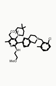 COCCNc1nc(C)c(CC(=O)O)c(N2CCC(C)(C)CC2)c1-c1ccc2c(c1)CCN(Cc1c(C)cccc1Cl)C2